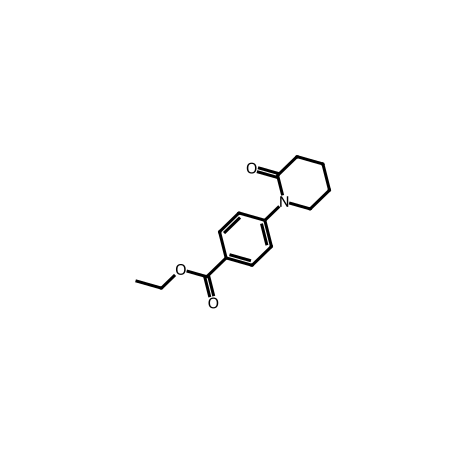 CCOC(=O)c1ccc(N2CCCCC2=O)cc1